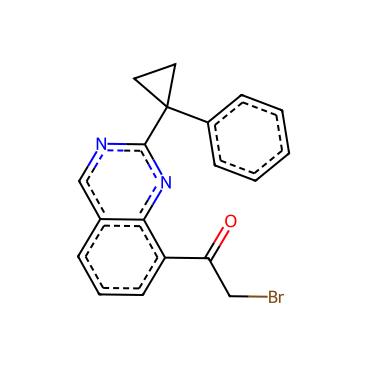 O=C(CBr)c1cccc2cnc(C3(c4ccccc4)CC3)nc12